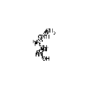 CN1CCC(Nc2cccc3c(CC(F)(F)F)c(C#CCNc4cc(F)c(NCCO)cc4OCF)sc23)CC1